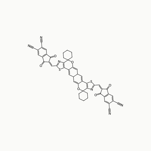 N#Cc1cc2c(cc1C#N)C(=O)C(=Cc1nc3c(s1)C1=CC4C=C5OC6(CCCCC6)c6nc(C=C7C(=O)c8cc(C#N)c(C#N)cc8C7=O)sc6C5=CC4C=C1OC31CCCCC1)C2=O